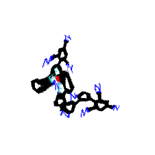 N#Cc1cc(C#N)c(-c2ccc3c(c2)c2ccccc2n3-c2ccc(C#N)cc2-c2c(-n3c4ccccc4c4cc(-c5c(C#N)cc(C#N)cc5C#N)ccc43)cccc2C(F)(F)F)c(C#N)c1